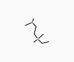 CCS(C)(C)CCN(C)C